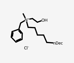 CCCCCCCCCCCCCCC[N+](C)(CCO)Cc1ccccc1.[Cl-]